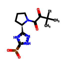 CCC(C)(C)C(=O)C(=O)N1CCC[C@H]1c1n[nH]c(=S(=O)=O)[nH]1